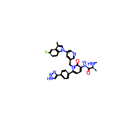 CN[C@@H](C)C(=O)Nc1ccc(-c2ccc(-c3c[nH]nn3)cc2)n(Cc2cncc(-n3cc(C)c4cc(F)ccc43)c2)c1=O